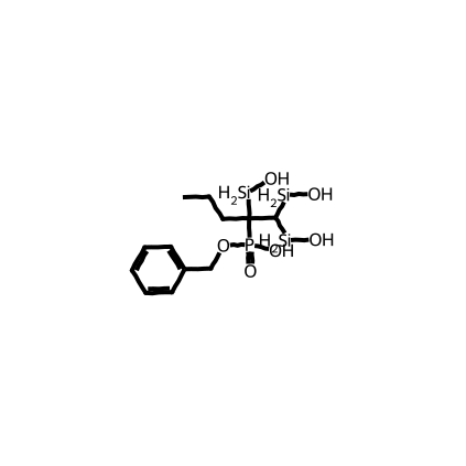 CCCC([SiH2]O)(C([SiH2]O)[SiH2]O)P(=O)(O)OCc1ccccc1